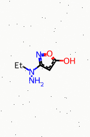 CCN(N)c1cc(O)on1